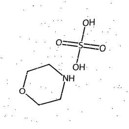 C1COCCN1.O=S(=O)(O)O